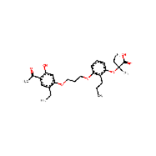 CCCc1c(OCCCOc2cc(O)c(C(C)=O)cc2CC)cccc1OC(C)(CC)C(=O)O